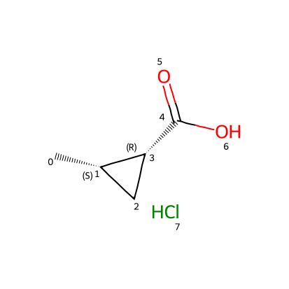 C[C@H]1C[C@H]1C(=O)O.Cl